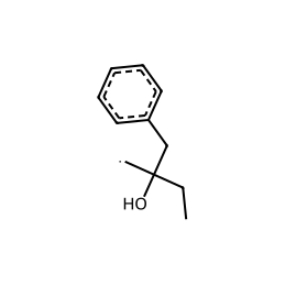 [CH2]C(O)(CC)Cc1ccccc1